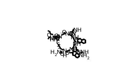 CCCC[C@H](NC(C)=O)C(=O)N[C@H]1CSSC[C@@H](C(N)=O)NC(=O)[C@H](Cc2ccc3ccccc3c2)NC(=O)[C@H](CCCNC(=N)N)NC(=O)[C@@H](Cc2ccc3ccccc3c2)NC(=O)[C@H](Cc2c[nH]cn2)NC(=O)[C@@H](C)NC1=O